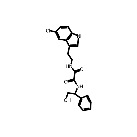 O=C(NCCc1c[nH]c2ccc(Cl)cc12)C(=O)NC(CO)c1ccccc1